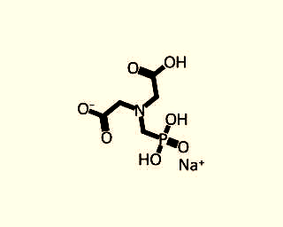 O=C([O-])CN(CC(=O)O)CP(=O)(O)O.[Na+]